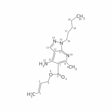 C/C=C/COC(=O)c1c(C)nc2c(cnn2CCCCC)c1N